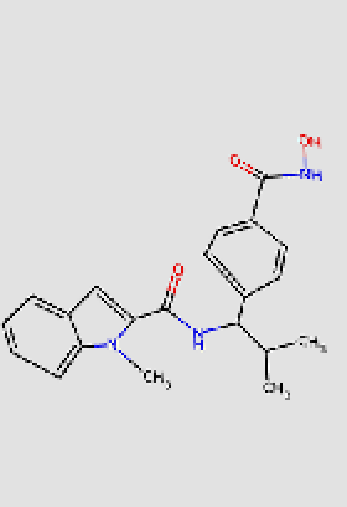 CC(C)C(NC(=O)c1cc2ccccc2n1C)c1ccc(C(=O)NO)cc1